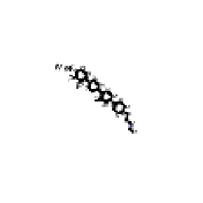 C/C=C/CCC1CC=C(c2ccc(-c3ccc(-c4ccc(OC)c(F)c4F)cc3)c(F)c2)CC1